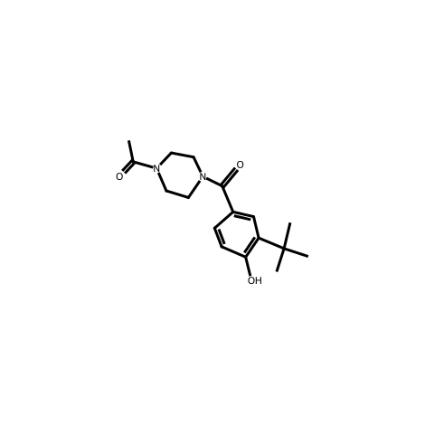 CC(=O)N1CCN(C(=O)c2ccc(O)c(C(C)(C)C)c2)CC1